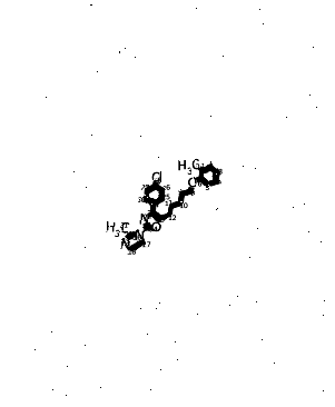 Cc1ccccc1OCCCCCc1oc(-n2ccnc2C)nc1-c1ccc(Cl)cc1